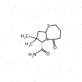 CC1(C)CC2SCCCC(=O)N2[C@@H]1C(N)=O